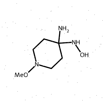 CON1CCC(N)(NO)CC1